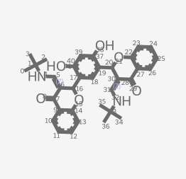 CC(C)(C)N/C=C1\C(=O)c2ccccc2OC1c1cc(C2Oc3ccccc3C(=O)/C2=C\NC(C)(C)C)c(O)cc1O